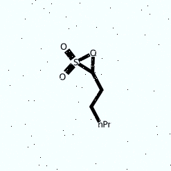 CCCCC[C]1OS1(=O)=O